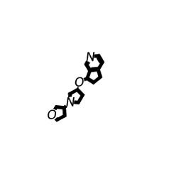 c1cc2c(cn1)C(O[C@@H]1CCN(C3CCOC3)C1)CC2